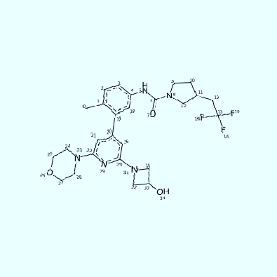 Cc1ccc(NC(=O)N2CCC(CC(F)(F)F)C2)cc1-c1cc(N2CCOCC2)nc(N2CC(O)C2)c1